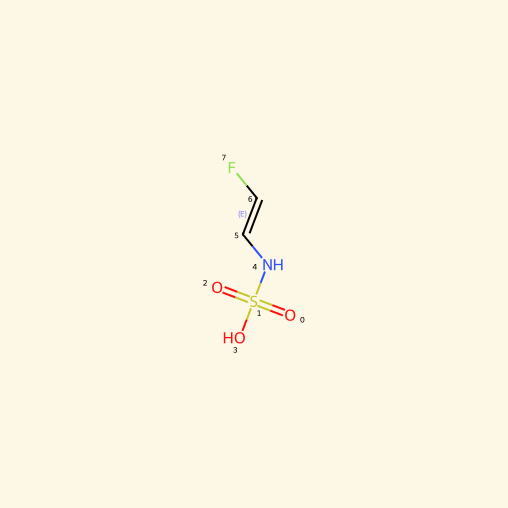 O=S(=O)(O)N/C=C/F